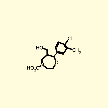 Cc1cc([C@H]2OCCN(C(=O)O)CC2CO)ccc1Cl